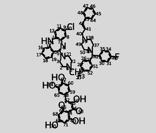 CN1CCN(C2=Nc3cc(Cl)ccc3Nc3ccccc32)CC1.Fc1ccc(C(c2ccc(F)cc2)N2CCN(C/C=C/c3ccccc3)CC2)cc1.O=c1c(O)c(-c2ccc(O)c(O)c2)oc2cc(O)cc(O)c12